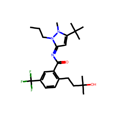 CCCn1c(=NC(=O)c2cc(C(F)(F)F)ccc2CCC(C)(C)O)cc(C(C)(C)C)n1C